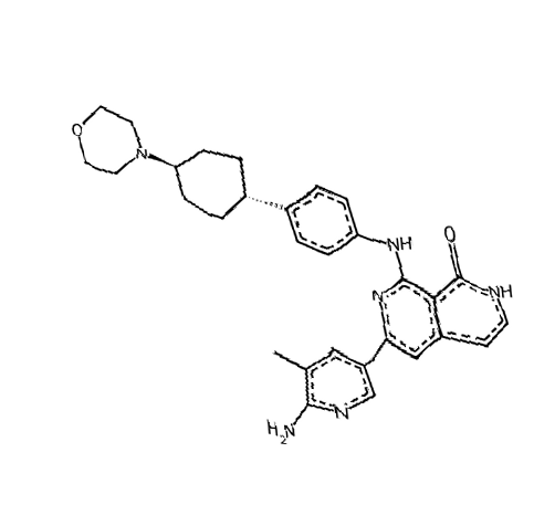 Cc1cc(-c2cc3cc[nH]c(=O)c3c(Nc3ccc([C@H]4CC[C@H](N5CCOCC5)CC4)cc3)n2)cnc1N